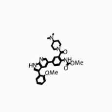 COC(=O)Nc1ccc(-c2cnc3[nH]cc(-c4ccccc4OC)c3c2)cc1C(=O)N1CCC(N(C)C)CC1